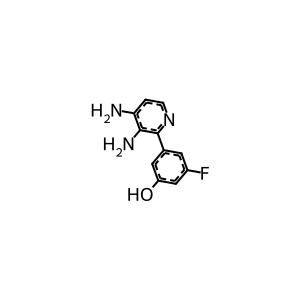 Nc1ccnc(-c2cc(O)cc(F)c2)c1N